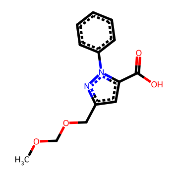 COCOCc1cc(C(=O)O)n(-c2ccccc2)n1